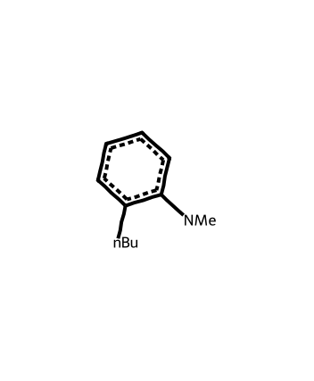 CCCCc1ccccc1NC